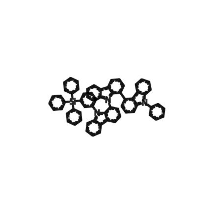 c1ccc(-n2c3ccccc3c3c(-c4cccc5c6ccccc6n(-c6cccc7c8ccccc8n(-c8cccc([Si](c9ccccc9)(c9ccccc9)c9ccccc9)c8)c67)c45)cccc32)cc1